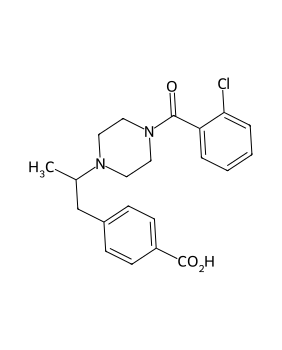 CC(Cc1ccc(C(=O)O)cc1)N1CCN(C(=O)c2ccccc2Cl)CC1